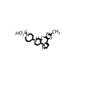 Cc1nc(C)c(-c2ccnn2C2CCN(C3CCCN(C(=O)O)CC3)CC2)s1